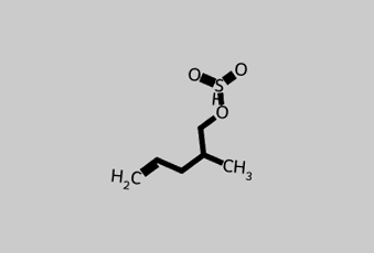 C=CCC(C)CO[SH](=O)=O